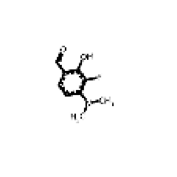 CN(C)c1ccc(C=O)c(O)c1F